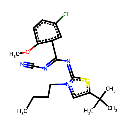 CCCCn1cc(C(C)(C)C)sc1=NC(=NC#N)c1cc(Cl)ccc1OC